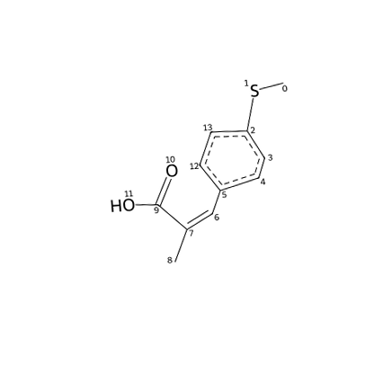 CSc1ccc(C=C(C)C(=O)O)cc1